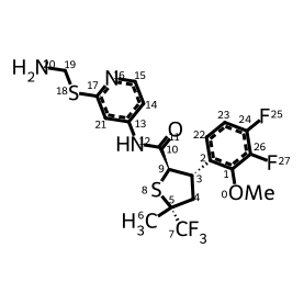 COc1c([C@@H]2C[C@](C)(C(F)(F)F)S[C@H]2C(=O)Nc2ccnc(SCN)c2)ccc(F)c1F